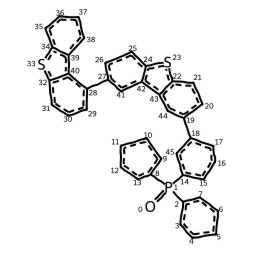 O=P(c1ccccc1)(c1ccccc1)c1cccc(-c2ccc3sc4ccc(-c5cccc6sc7ccccc7c56)cc4c3c2)c1